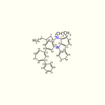 C=CCCCN(C)c1c(C)ccc2c3c(n(-c4cccc(C5=CC(c6ccccc6)=CCC=C5)c4)c12)=CCCC=3